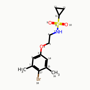 Cc1cc(OCCNS(=O)(=O)C2CC2)cc(C)c1Br